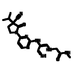 CNC(=O)CN/C=C(\C=N)Nc1nccc(N2CCC(C#N)(C(C)C)C2=O)n1